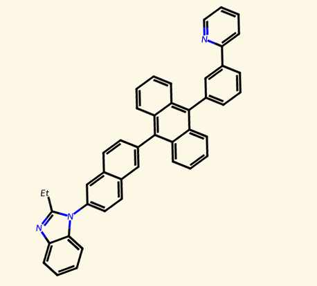 CCc1nc2ccccc2n1-c1ccc2cc(-c3c4ccccc4c(-c4cccc(-c5ccccn5)c4)c4ccccc34)ccc2c1